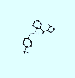 Cc1occc1C(=N)c1ccccc1NCc1ccc(C(F)(F)F)cc1